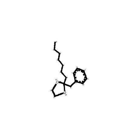 CCCCCCCC1(Cc2ccccc2)OCCO1